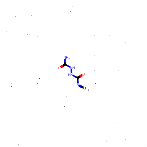 C=NC(=O)NNC(N)=O